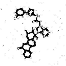 CC1C=c2c(ccc3c2=CC(=O)c2ccccc2-3)C(C)(N2CN(CC(=O)Nc3nc(-c4cccc(Cl)c4)cs3)c3cncnc32)C1=O